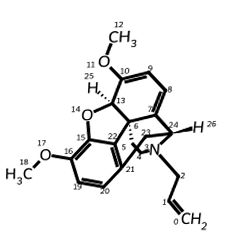 C=CCN1CC[C@@]23C4=CC=C(OC)[C@@H]2Oc2c(OC)ccc(c23)C[C@H]41